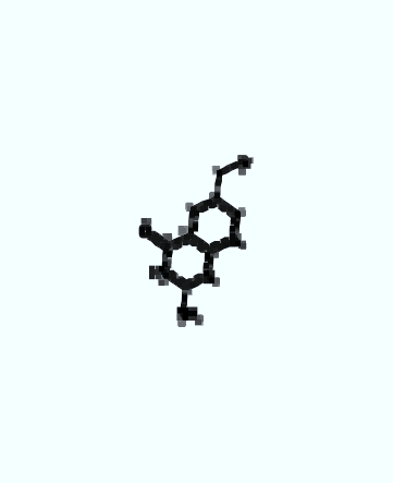 Nc1nc2ncc(CBr)cc2c(=O)[nH]1